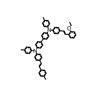 CCOc1ccccc1/C=C/c1ccc(N(c2ccc(C)cc2)c2ccc(-c3ccc(N(c4ccc(C)cc4)c4ccc(/C=C/c5ccc(C)cc5)cc4)cc3)cc2)cc1